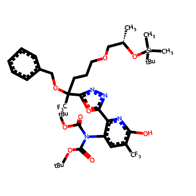 C[C@@H](COCCCC(OCc1ccccc1)(c1nnc(-c2nc(O)c(C(F)(F)F)cc2N(C(=O)OC(C)(C)C)C(=O)OC(C)(C)C)o1)C(F)(F)F)O[Si](C)(C)C(C)(C)C